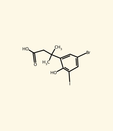 CC(C)(CC(=O)O)c1cc(Br)cc(I)c1O